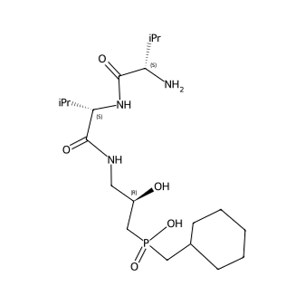 CC(C)[C@H](N)C(=O)N[C@H](C(=O)NC[C@@H](O)CP(=O)(O)CC1CCCCC1)C(C)C